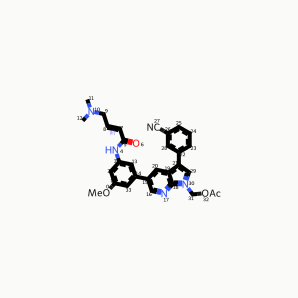 COc1cc(NC(=O)/C=C/CN(C)C)cc(-c2cnc3c(c2)c(-c2cccc(C#N)c2)cn3COC(C)=O)c1